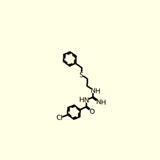 N=C(NCCSCc1ccccc1)NC(=O)c1ccc(Cl)cc1